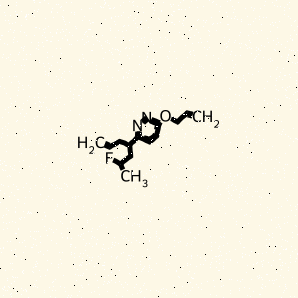 C=CCOc1ccc(C(CC=C)CC(C)F)nn1